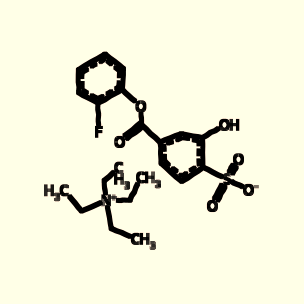 CC[N+](CC)(CC)CC.O=C(Oc1ccccc1F)c1ccc(S(=O)(=O)[O-])c(O)c1